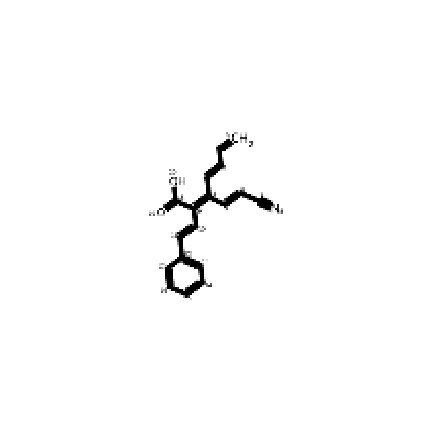 C=CC=CC(C=CC#N)=C(C=Cc1ccccc1)C(=O)O